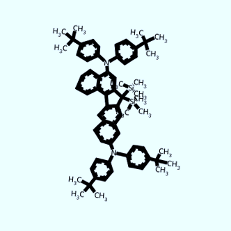 CC(C)(C)c1ccc(N(c2ccc(C(C)(C)C)cc2)c2ccc3cc4c(cc3c2)C([Si](C)(C)C)([Si](C)(C)C)c2cc(N(c3ccc(C(C)(C)C)cc3)c3ccc(C(C)(C)C)cc3)c3ccccc3c2-4)cc1